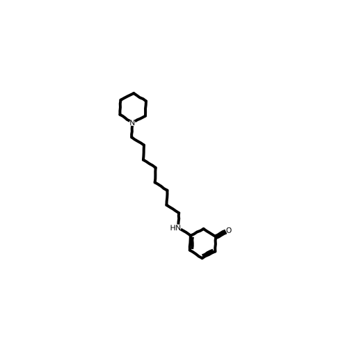 O=C1C=CC=C(NCCCCCCCCN2CCCCC2)C1